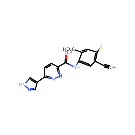 C#Cc1cc(NC(=O)c2ccc(-c3cn[nH]c3)nn2)c(C(=O)O)cc1F